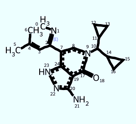 C/N=C(\C=C(C)C)c1cn(C(C2CC2)C2CC2)c(=O)c2c(N)n[nH]c12